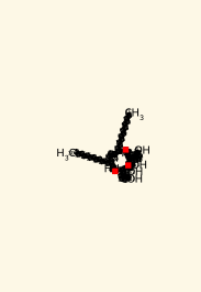 CCCCCCCCCCCCCc1c2nc(c(CCCCCCCCCCCCC)c3ccc([nH]3)c(-c3cccc(O)c3)c3nc(c(-c4cccc(O)c4)c4ccc1[nH]4)C(O)C3O)C=C2